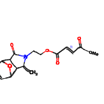 C=C1C2C3C=CC(O3)C2C(=O)N1CCOC(=O)/C=C/C(=O)OC